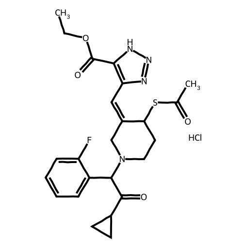 CCOC(=O)c1[nH]nnc1/C=C1/CN(C(C(=O)C2CC2)c2ccccc2F)CCC1SC(C)=O.Cl